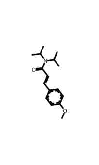 COc1ccc(C=CC(=O)N(C(C)C)C(C)C)cc1